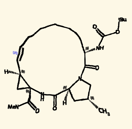 CNC(=O)[C@@]12C[C@H]1/C=C\CCCCC[C@H](NC(=O)OC(C)(C)C)C(=O)N1C[C@H](C)C[C@H]1C(=O)N2